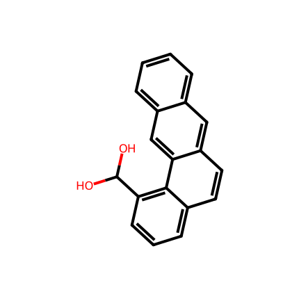 OC(O)c1cccc2ccc3cc4ccccc4cc3c12